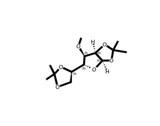 CO[C@H]1[C@H]2OC(C)(C)O[C@H]2O[C@@H]1[C@H]1COC(C)(C)O1